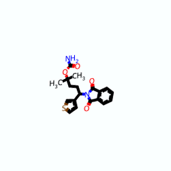 CC(C)(CCC(c1ccsc1)N1C(=O)c2ccccc2C1=O)OC(N)=O